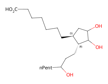 CCCCCC(O)CC[C@H]1C(O)C(O)C[C@@H]1CCCCCCC(=O)O